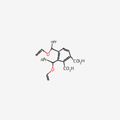 C=COC(CCC)c1ccc(C(=O)O)c(C(=O)O)c1C(CCC)OC=C